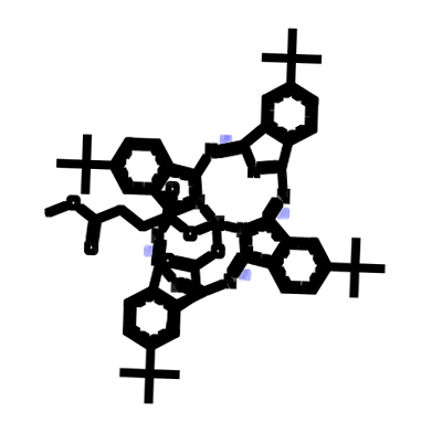 CCCC(=O)O[Si]1(OC(=O)CCC(=O)OC)n2c3c4cc(C(C)(C)C)ccc4c2/N=C2N=C(/N=c4/c5cc(C(C)(C)C)ccc5/c(n41)=N/C1=NC(=N\3)/c3ccc(C(C)(C)C)cc31)c1ccc(C(C)(C)C)cc1\2